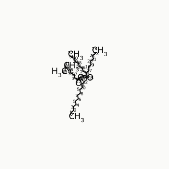 CCCCCCCCCCCC(COC(=O)C(CCCCCCCC)CCCCCCCC)OC(=O)CCCCN(C)C